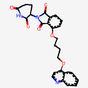 O=C1CCC(N2C(=O)c3cccc(OCCCCOc4ccnc5ccccc45)c3C2=O)C(=O)N1